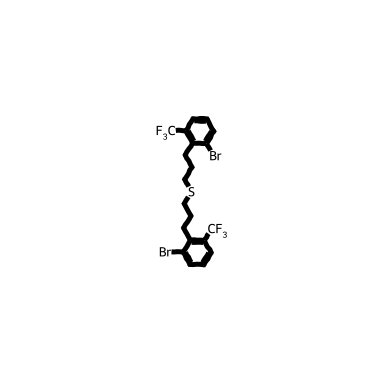 FC(F)(F)c1cccc(Br)c1CCCSCCCc1c(Br)cccc1C(F)(F)F